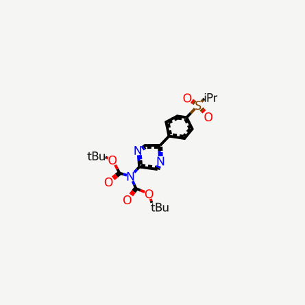 CC(C)S(=O)(=O)c1ccc(-c2cnc(N(C(=O)OC(C)(C)C)C(=O)OC(C)(C)C)cn2)cc1